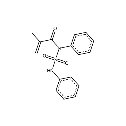 C=C(C)C(=O)N(c1ccccc1)S(=O)(=O)Nc1ccccc1